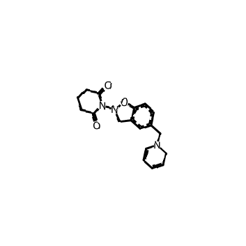 O=C1CCCC(=O)N1N1Cc2cc(CN3C=CC=CC3)ccc2O1